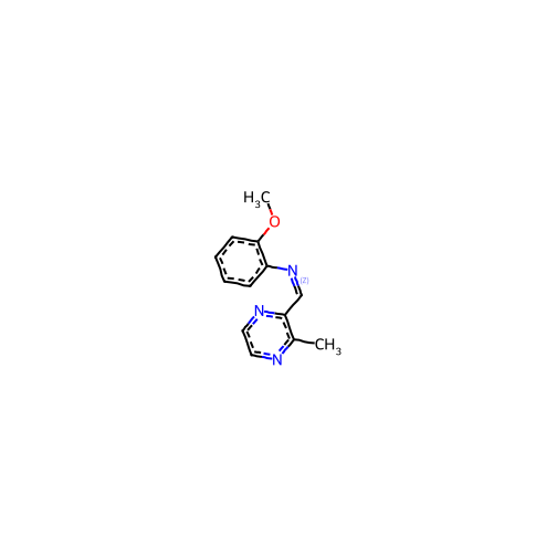 COc1ccccc1/N=C\c1nccnc1C